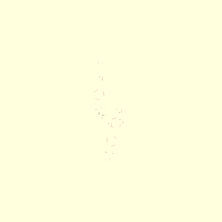 CCC(C)S(=O)(=O)c1ccc(-c2cnc(N)c(-c3nnc(-c4ccc(CN[C@H]5CCOC5)cc4)o3)n2)cc1